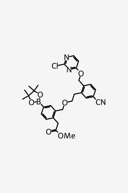 COC(=O)Cc1ccc(B2OC(C)(C)C(C)(C)O2)cc1COCCc1cc(C#N)ccc1COc1ccnc(Cl)n1